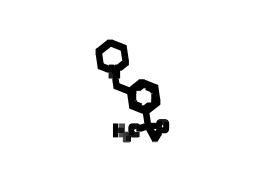 CC1(c2cccc(CN3CCCCC3)c2)CO1